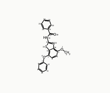 COc1ccc(Oc2ccccc2)c2sc(NC(=O)c3ccccc3)nc12